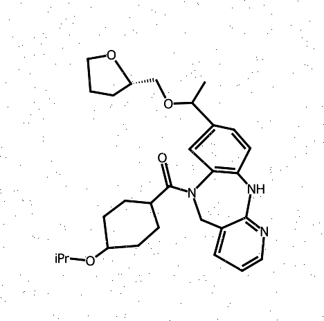 CC(C)OC1CCC(C(=O)N2Cc3cccnc3Nc3ccc(C(C)OC[C@@H]4CCCO4)cc32)CC1